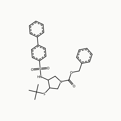 CC(C)(C)SC1CN(C(=O)OCc2ccccc2)CC1NS(=O)(=O)c1ccc(-c2ccccc2)cc1